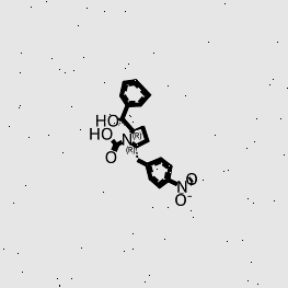 O=C(O)N1[C@@H](Cc2ccc([N+](=O)[O-])cc2)CC[C@@H]1[C@H](O)c1ccccc1